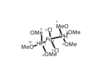 CO[PH](OC)(OC)[Pd]([Cl])([Cl])[PH](OC)(OC)OC